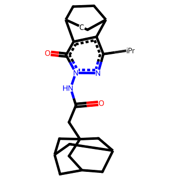 CC(C)c1nn(NC(=O)CC23CC4CC(CC(C4)C2)C3)c(=O)c2c1C1CCC2CC1